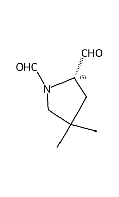 CC1(C)C[C@@H](C=O)N(C=O)C1